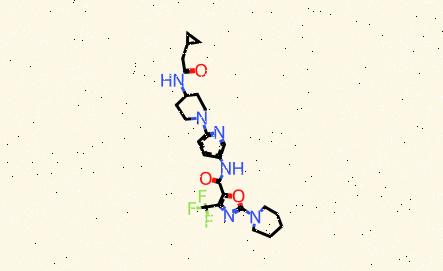 O=C(CC1CC1)NC1CCN(c2ccc(NC(=O)c3oc(N4CCCCC4)nc3C(F)(F)F)cn2)CC1